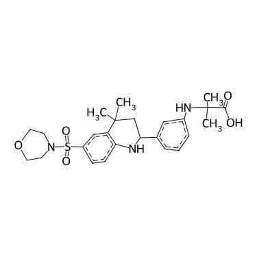 CC(C)(Nc1cccc(C2CC(C)(C)c3cc(S(=O)(=O)N4CCOCC4)ccc3N2)c1)C(=O)O